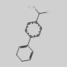 CCC(N)c1ccc(C2=CCCC=C2)cc1